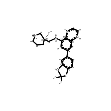 FC1(F)Oc2ccc(-c3cc4nccnc4c(NC[C@@]4(F)CCCNC4)n3)cc2O1